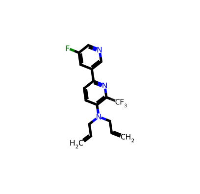 C=CCN(CC=C)c1ccc(-c2cncc(F)c2)nc1C(F)(F)F